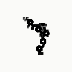 COc1cc(-c2nn(C3CCN(Cc4cccc(O)c4)CC3)c3ncnc(N)c23)ccc1NC(=O)c1ccc(C(F)(F)F)cc1F